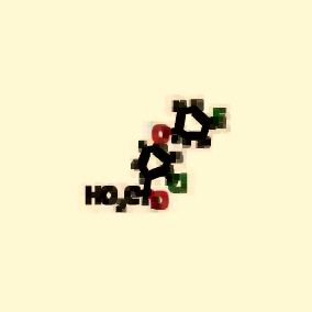 O=C(O)C(=O)c1ccc(Oc2ccc(F)cc2)cc1Cl